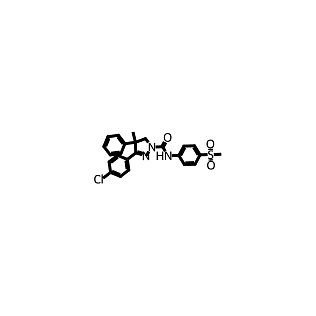 CC1(c2ccccc2)CN(C(=O)Nc2ccc(S(C)(=O)=O)cc2)N=C1c1ccc(Cl)cc1